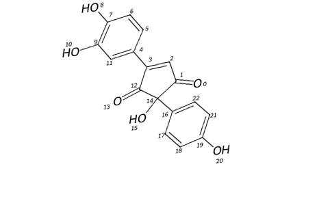 O=C1C=C(c2ccc(O)c(O)c2)C(=O)C1(O)c1ccc(O)cc1